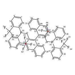 FC(F)(F)c1ccccc1P(Cc1ccc2ccccc2c1-c1c(CP(c2ccccc2C(F)(F)F)c2ccccc2C(F)(F)F)ccc2ccccc12)c1ccccc1C(F)(F)F